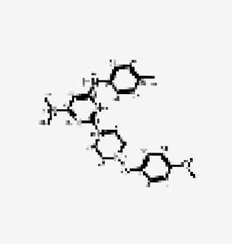 COc1ccc(SN2CCN(c3nc(Nc4ccc(C)cc4)cc(N(C)C)n3)CC2)cc1